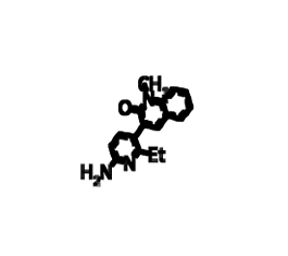 CCc1nc(N)ccc1-c1cc2ccccc2n(C)c1=O